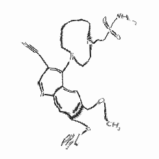 COc1cc2ncc(C#N)c(N3CCCN(S(N)(=O)=O)CC3)c2cc1OC